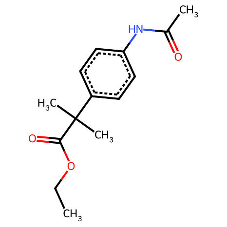 CCOC(=O)C(C)(C)c1ccc(NC(C)=O)cc1